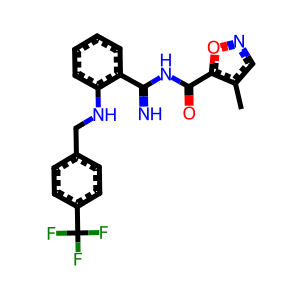 Cc1cnoc1C(=O)NC(=N)c1ccccc1NCc1ccc(C(F)(F)F)cc1